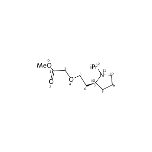 COC(=O)COCC[C@@H]1CCCN1C(C)C